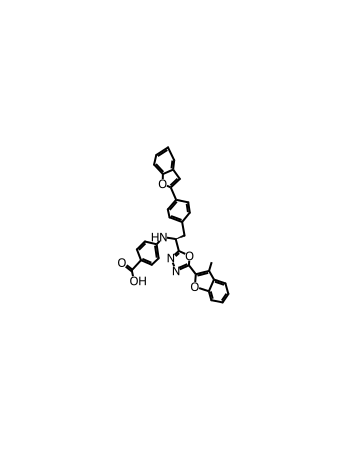 Cc1c(-c2nnc([C@H](Cc3ccc(-c4cc5ccccc5o4)cc3)Nc3ccc(C(=O)O)cc3)o2)oc2ccccc12